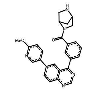 COc1ccc(-c2ccc3ncnc(-c4cccc(C(=O)N5CC6CC5CN6)c4)c3c2)cn1